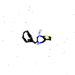 c1ccc(CC2CNc3sccc3CN2)cc1